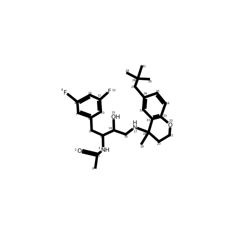 CC(=O)NC(Cc1cc(F)cc(F)c1)C(O)CNC1(C)CCOc2ccc(CC(C)(C)C)cc21